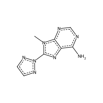 Cn1c(-n2nccn2)nc2c(N)ncnc21